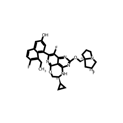 CCc1c(F)ccc2cc(O)cc(-c3nc4c5c(nc(OC[C@@]67CCCN6C[C@H](F)C7)nc5c3F)N[C@@H](C3CC3)CO4)c12